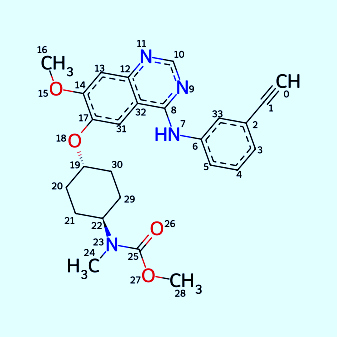 C#Cc1cccc(Nc2ncnc3cc(OC)c(O[C@H]4CC[C@H](N(C)C(=O)OC)CC4)cc23)c1